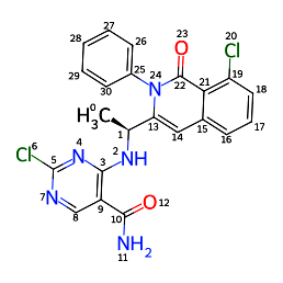 C[C@H](Nc1nc(Cl)ncc1C(N)=O)c1cc2cccc(Cl)c2c(=O)n1-c1ccccc1